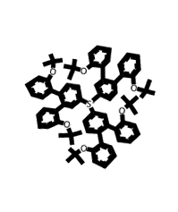 CC(C)(C)Oc1ccccc1-c1ccc([S+](c2ccc(-c3ccccc3OC(C)(C)C)c(-c3ccccc3OC(C)(C)C)c2)c2ccc(-c3ccccc3OC(C)(C)C)c(-c3ccccc3OC(C)(C)C)c2)cc1-c1ccccc1OC(C)(C)C